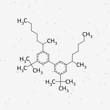 CCCCCC(C)c1cc(-c2[c]c(C(C)(C)C)cc(C(C)CCCCC)c2)[c]c(C(C)(C)C)c1